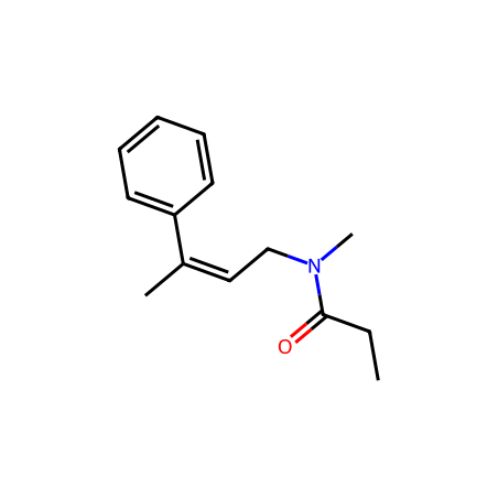 CCC(=O)N(C)C/C=C(/C)c1ccccc1